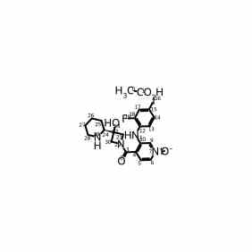 CC(=O)O.O=C(c1cc[n+]([O-])cc1Nc1ccc(I)cc1F)N1CC(O)([C@@H]2CCCCN2)C1